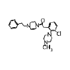 CN1CCN(c2c(Cl)cccc2CC(=O)N2CCN(CCc3ccccc3)CC2)CC1